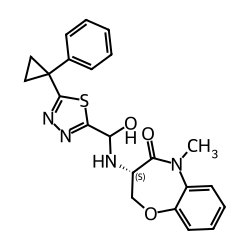 CN1C(=O)[C@@H](NC(O)c2nnc(C3(c4ccccc4)CC3)s2)COc2ccccc21